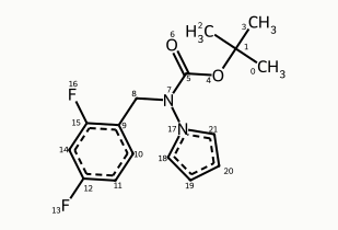 CC(C)(C)OC(=O)N(Cc1ccc(F)cc1F)n1cccc1